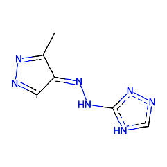 CC1=NN=[C]C1=NNc1nnc[nH]1